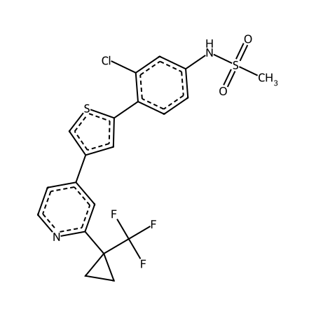 CS(=O)(=O)Nc1ccc(-c2cc(-c3ccnc(C4(C(F)(F)F)CC4)c3)cs2)c(Cl)c1